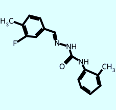 Cc1ccc(/C=N/NC(=O)Nc2ccccc2C)cc1F